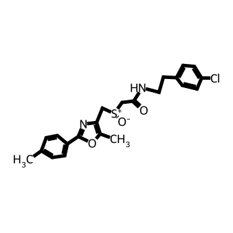 Cc1ccc(-c2nc(C[S+]([O-])CC(=O)NCCc3ccc(Cl)cc3)c(C)o2)cc1